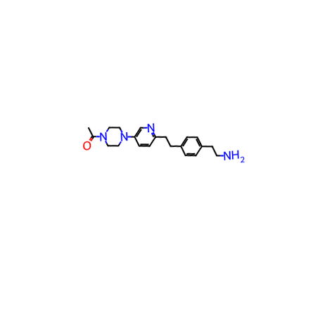 CC(=O)N1CCN(c2ccc(CCc3ccc(CCN)cc3)nc2)CC1